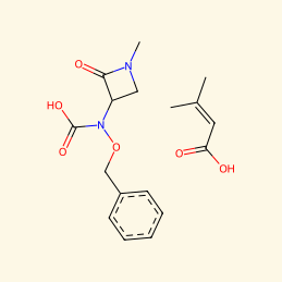 CC(C)=CC(=O)O.CN1CC(N(OCc2ccccc2)C(=O)O)C1=O